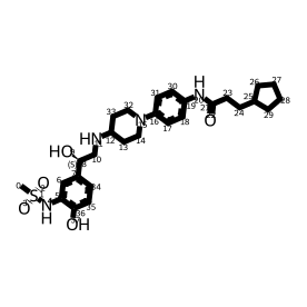 CS(=O)(=O)Nc1cc([C@H](O)CNC2CCN(c3ccc(NC(=O)CCC4CCCC4)cc3)CC2)ccc1O